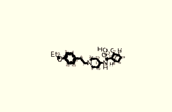 CCOc1ccc(CCN2CCC(NC(=O)C3C(C(=O)O)[C@H]4C=C[C@@H]3O4)CC2)cc1